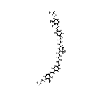 CCOc1ccc(CCc2ccc(OCCCCCC(CCCCCOc3ccc(CCc4ccc(OCC)c(F)c4F)cc3)C(F)(F)F)cc2)c(F)c1F